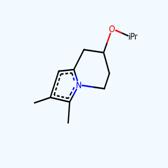 Cc1cc2n(c1C)CCC(OC(C)C)C2